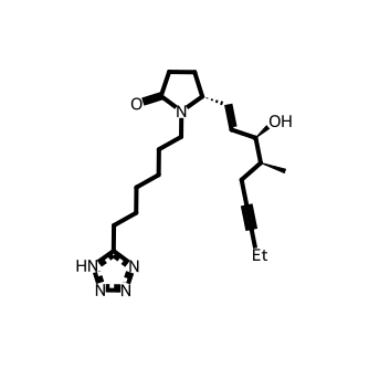 CCC#CC[C@H](C)[C@H](O)/C=C/[C@H]1CCC(=O)N1CCCCCCc1nnn[nH]1